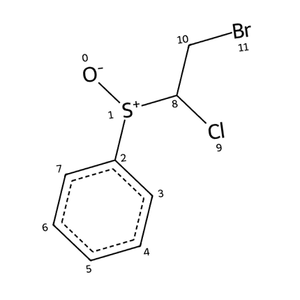 [O-][S+](c1ccccc1)C(Cl)CBr